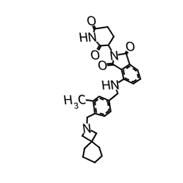 Cc1cc(CNc2cccc3c2C(=O)N(C2CCC(=O)NC2=O)C3=O)ccc1CN1CC2(CCCCC2)C1